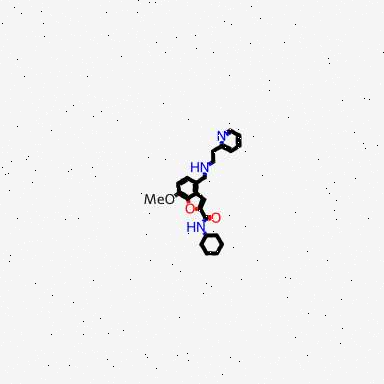 COc1ccc(CNCCc2ccccn2)c2cc(C(=O)NC3CCCCC3)oc12